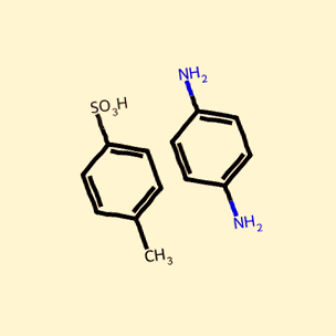 Cc1ccc(S(=O)(=O)O)cc1.Nc1ccc(N)cc1